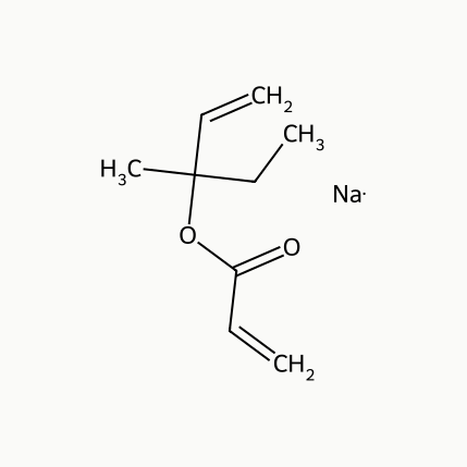 C=CC(=O)OC(C)(C=C)CC.[Na]